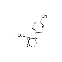 N#Cc1ccc([C@@H]2CCON2C(=O)O)cc1